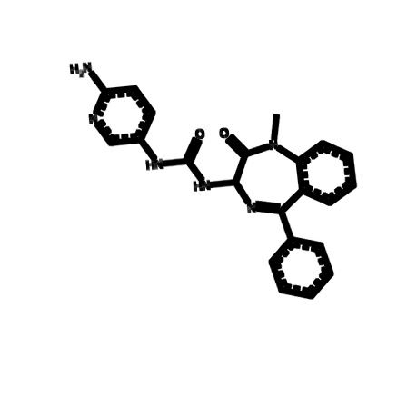 CN1C(=O)C(NC(=O)Nc2ccc(N)nc2)N=C(c2ccccc2)c2ccccc21